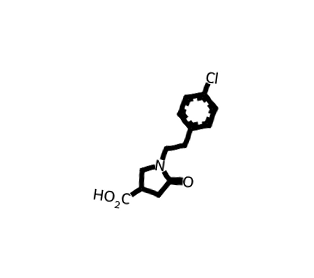 O=C(O)C1CC(=O)N(CCc2ccc(Cl)cc2)C1